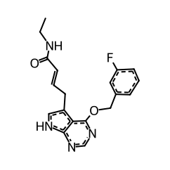 CCNC(=O)/C=C/Cc1c[nH]c2ncnc(OCc3cccc(F)c3)c12